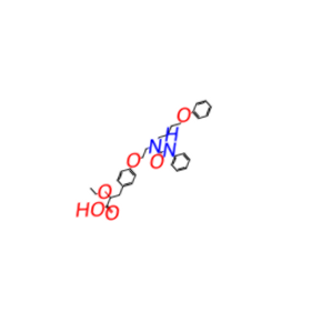 CCOC(Cc1ccc(OCCN(CCCCOc2ccccc2)C(=O)Nc2ccccc2)cc1)C(=O)O